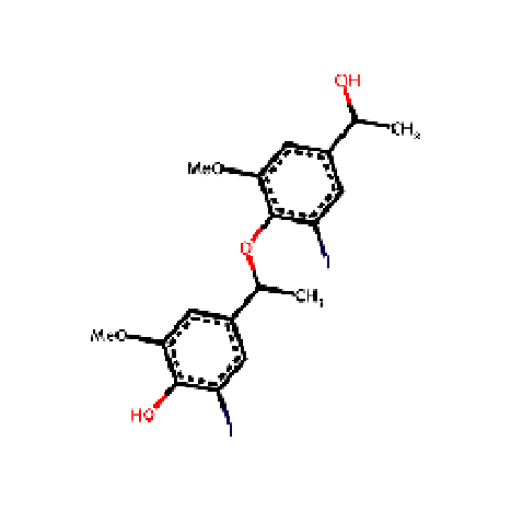 COc1cc(C(C)Oc2c(I)cc(C(C)O)cc2OC)cc(I)c1O